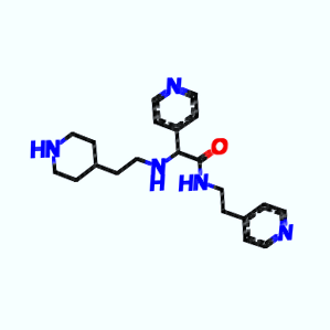 O=C(NCCc1ccncc1)C(NCCC1CCNCC1)c1ccncc1